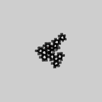 CC1(C)c2cc(-c3ccccc3)ccc2-c2ccc(N(c3ccc(-c4ccccc4-c4ccccc4)cc3)c3c(-c4ccccc4)c4ccccc4c4ccccc34)cc21